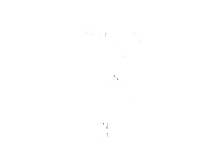 O=C1CCC1N1CCNCC1